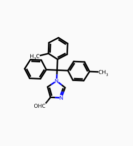 Cc1ccc(C(c2ccccc2)(c2ccccc2C)n2cnc(C=O)c2)cc1